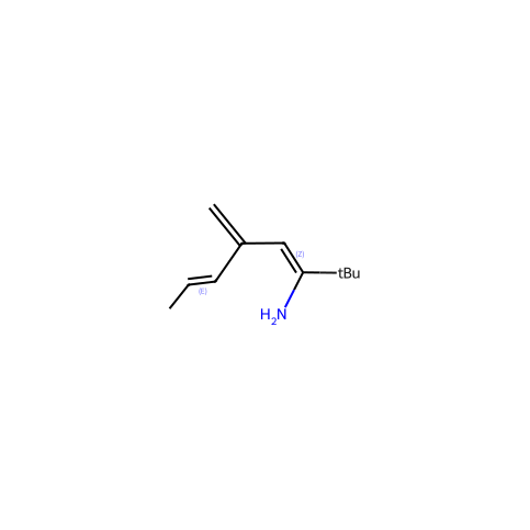 C=C(/C=C(\N)C(C)(C)C)/C=C/C